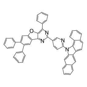 c1ccc(-c2cc3oc4c(-c5ccccc5)nc(-c5ccc(-n6c7cc8ccccc8cc7c7ccc8ccccc8c76)nc5)nc4c3cc2-c2ccccc2)cc1